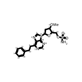 COC1CC(n2cnc3c(CCc4ccccc4)ncnc32)OC1COS(N)(=O)=O